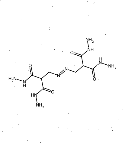 NNC(=O)C(CN=NCC(C(=O)NN)C(=O)NN)C(=O)NN